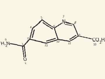 NC(=O)c1ccc2ncc(C(=O)O)cc2c1